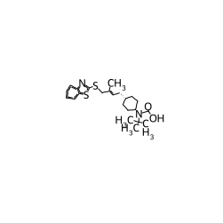 C/C(=C\C[C@H]1CC[C@H](N(C(=O)O)C(C)(C)C)CC1)CSc1nc2ccccc2s1